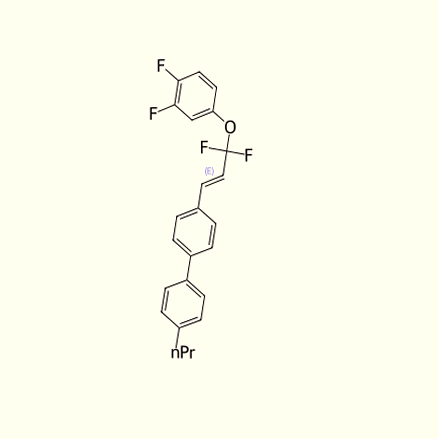 CCCc1ccc(-c2ccc(/C=C/C(F)(F)Oc3ccc(F)c(F)c3)cc2)cc1